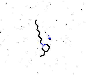 C#N.CCCCCCCCN1CCCC(CC)C1